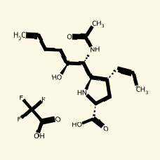 C=CCC[C@H](O)[C@H](NC(C)=O)[C@@H]1N[C@@H](C(=O)O)C[C@H]1/C=C\C.O=C(O)C(F)(F)F